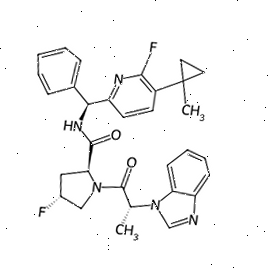 C[C@H](C(=O)N1C[C@H](F)C[C@H]1C(=O)N[C@@H](c1ccccc1)c1ccc(C2(C)CC2)c(F)n1)n1cnc2ccccc21